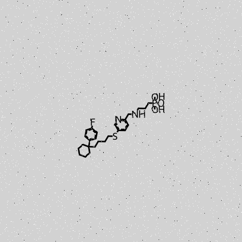 O=P(O)(O)CCCNCc1ccc(SCCCCC2(c3ccc(F)cc3)CCCCC2)cn1